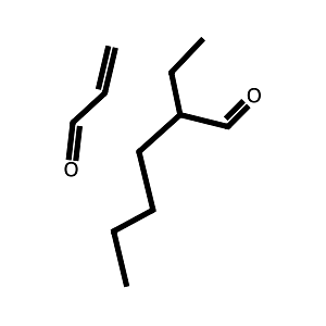 C=CC=O.CCCCC(C=O)CC